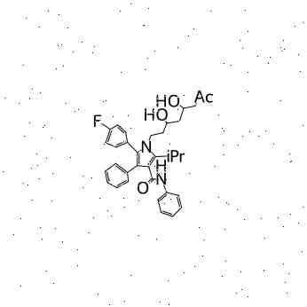 CC(=O)CC(O)C[C@H](O)CCn1c(-c2ccc(F)cc2)c(-c2ccccc2)c(C(=O)Nc2ccccc2)c1C(C)C